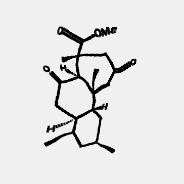 COC(=O)[C@]1(C)CC(=O)C[C@]2(C)[C@@H]3C[C@@H](C)C[C@@H](C)[C@H]3CC(=O)[C@H]21